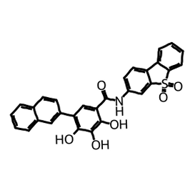 O=C(Nc1ccc2c(c1)S(=O)(=O)c1ccccc1-2)c1cc(-c2ccc3ccccc3c2)c(O)c(O)c1O